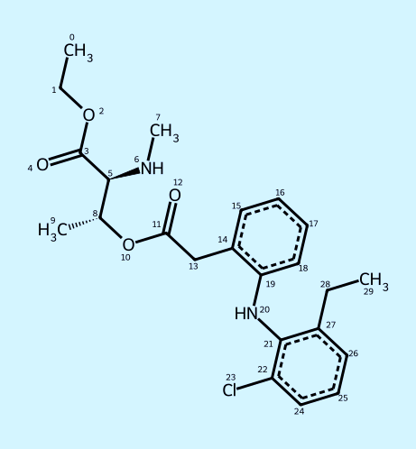 CCOC(=O)[C@@H](NC)[C@@H](C)OC(=O)Cc1ccccc1Nc1c(Cl)cccc1CC